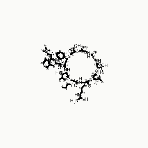 CCCC[C@@H]1NC(=O)[C@H]([C@H](O)C(C)C)NC(=O)[C@@H](NC(=O)[C@H](Cc2cccnc2)NC(=O)[C@H](N)C[Si](C)(C)C)[C@@H](c2ccccc2)NC(=O)C(CO)NC(=O)[C@H](C)NC(=O)CNC(=O)[C@H]([C@H](C)O)NC(=O)[C@H]([C@@H](C)CC)NC(=O)[C@@H](CCCNC(=N)N)NC1=O